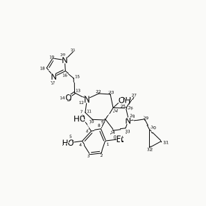 CCc1ccc(O)c(O)c1C12CCN(C(=O)Cc3nccn3C)CCC1(O)C(C)N(CC1CC1)CC2